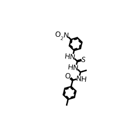 Cc1ccc(C(=O)NC(C)NC(=S)Nc2cccc([N+](=O)[O-])c2)cc1